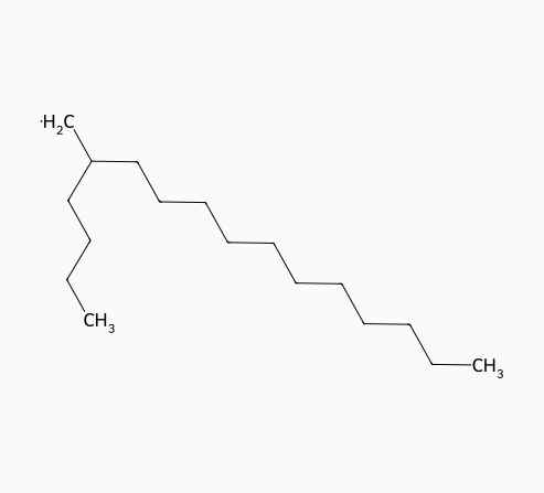 [CH2]C(CCCC)CCCCCCCCCCC